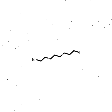 BrCCCCCCCCI